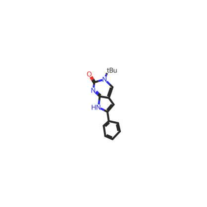 CC(C)(C)n1cc2cc(-c3ccccc3)[nH]c2nc1=O